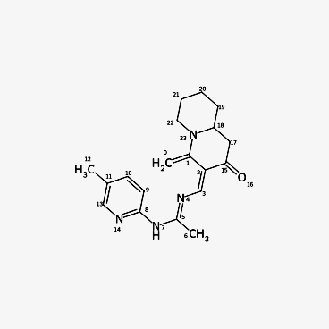 C=C1/C(=C\N=C(/C)Nc2ccc(C)cn2)C(=O)CC2CCCCN12